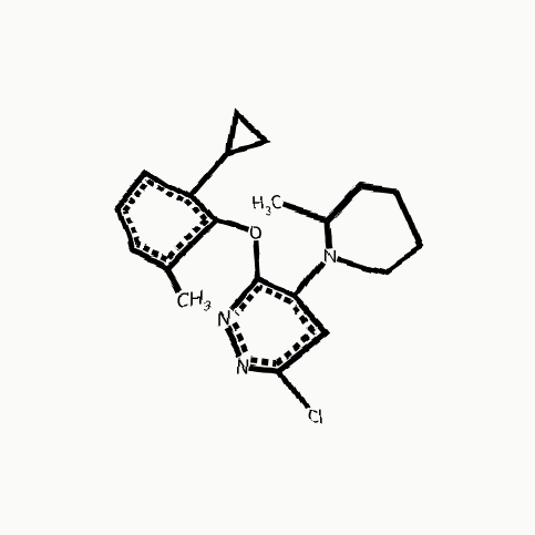 Cc1cccc(C2CC2)c1Oc1nnc(Cl)cc1N1CCCCC1C